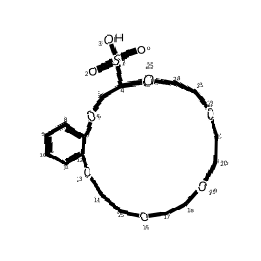 O=S(=O)(O)C1COc2ccccc2OCCOCCOCCOCCO1